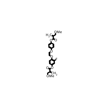 C=C(COC)C(=O)Oc1ccc(O/C=C\Oc2ccc(OC(=O)C(=C)COC)cc2F)cc1